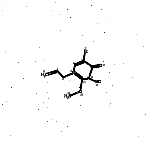 C=CC[n+]1cc(CC)c(=O)n(N=O)c1ON